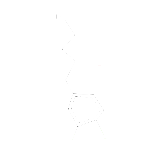 CCC[C@H](O)Cc1ccc(F)c(F)c1